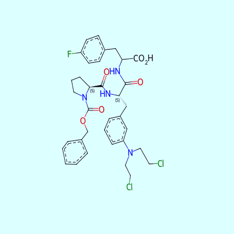 O=C(O)C(Cc1ccc(F)cc1)NC(=O)[C@H](Cc1cccc(N(CCCl)CCCl)c1)NC(=O)[C@@H]1CCCN1C(=O)OCc1ccccc1